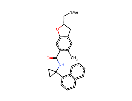 CNCC1Cc2cc(C)c(C(=O)NC3(c4cccc5ccccc45)CC3)cc2O1